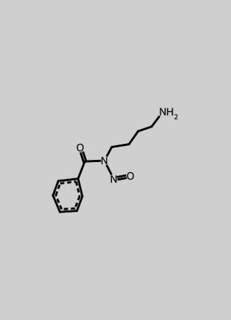 NCCCCN(N=O)C(=O)c1ccccc1